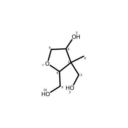 CC1(CO)C(O)COC1CO